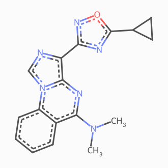 CN(C)c1nc2c(-c3noc(C4CC4)n3)ncn2c2ccccc12